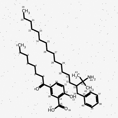 CCCCCCCC(=O)c1ccc(O)c(C(=O)O)c1.CCCCCCCCCCCCCCC(Cc1ccccc1)C(C)(C)N